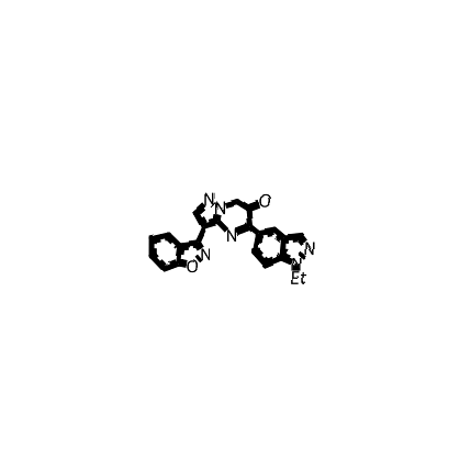 CCn1ncc2cc(C3=Nc4c(-c5noc6ccccc56)cnn4CC3=O)ccc21